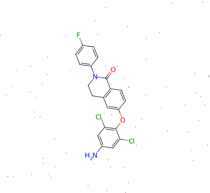 Nc1cc(Cl)c(Oc2ccc3c(c2)CCN(c2ccc(F)cc2)C3=O)c(Cl)c1